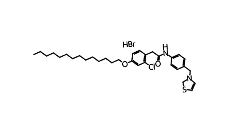 Br.CCCCCCCCCCCCCCOc1ccc(CC(=O)Nc2ccc(CN3C=CSC3)cc2)c(Cl)c1